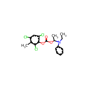 CCN(c1ccccc1)C(C)OC(=O)Oc1c(Cl)cc(Cl)c(C)c1Cl